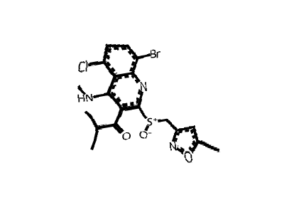 CNc1c(C(=O)C(C)C)c([S+]([O-])Cc2cc(C)on2)nc2c(Br)ccc(Cl)c12